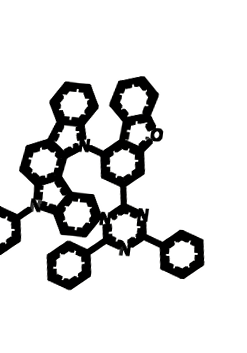 c1ccc(-c2nc(-c3ccccc3)nc(-c3cc(-n4c5ccccc5c5ccc6c(c7ccccc7n6-c6ccccc6)c54)c4c(c3)oc3ccccc34)n2)cc1